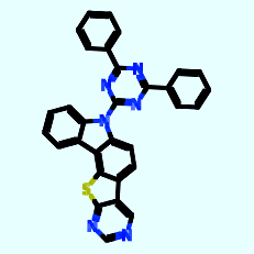 c1ccc(-c2nc(-c3ccccc3)nc(-n3c4ccccc4c4c5sc6ncncc6c5ccc43)n2)cc1